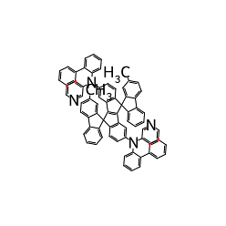 Cc1ccc2c(c1)C1(C3=C(c4cc(N(c5cccnc5)c5ccccc5-c5ccccc5)ccc41)C1(c4ccc(N(c5cccnc5)c5ccccc5-c5ccccc5)cc43)c3ccccc3-c3ccc(C)cc31)c1ccccc1-2